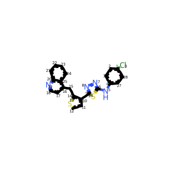 Clc1ccc(Nc2nnc(-c3ccsc3Cc3ccnc4ccccc34)s2)cc1